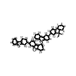 CC1(C)c2ccccc2-c2ccc(-c3ccc4c(c3)c3ccccc3n4-c3cccc4oc5cc(-c6ccc7c(c6)sc6ccccc67)ccc5c34)cc21